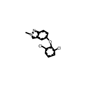 Cn1cc2cc(Oc3c(Cl)cccc3Cl)ccc2n1